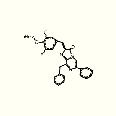 CCCCCCOc1c(F)cc(/C=C2\N=C3C(Cc4ccccc4)=NC(c4ccccc4)=CN3C2=O)cc1F